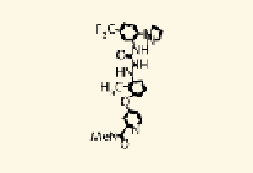 CNC(=O)c1cc(Oc2cccc(NNC(=O)Nc3cc(C(F)(F)F)ccc3-n3cccn3)c2C)ccn1